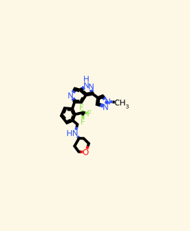 Cn1cc(-c2n[nH]c3cnc(-c4cccc(CNC5CCOCC5)c4C(F)(F)F)cc23)cn1